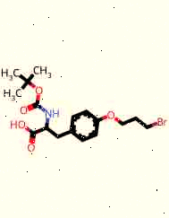 CC(C)(C)OC(=O)NC(Cc1ccc(OCCCBr)cc1)C(=O)O